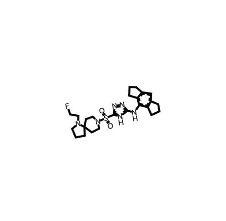 O=S(=O)(c1nnc(Nc2c3c(cc4c2CCC4)CCC3)[nH]1)N1CCC2(CCCN2CCF)CC1